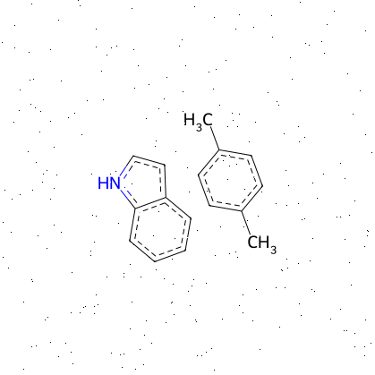 Cc1ccc(C)cc1.c1ccc2[nH]ccc2c1